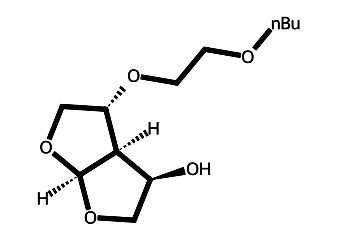 CCCCOCCO[C@H]1CO[C@@H]2OC[C@H](O)[C@@H]21